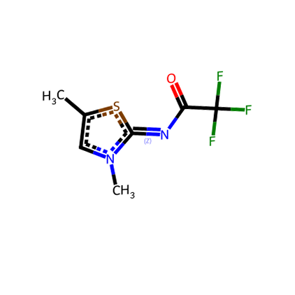 Cc1cn(C)/c(=N/C(=O)C(F)(F)F)s1